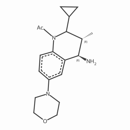 CC(=O)N1c2ccc(N3CCOCC3)cc2[C@H](N)[C@@H](C)C1C1CC1